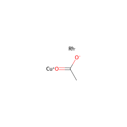 CC(=O)[O-].[Cu+].[Rh]